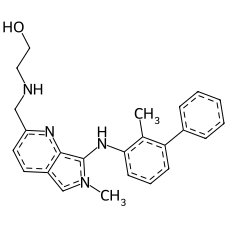 Cc1c(Nc2c3nc(CNCCO)ccc3cn2C)cccc1-c1ccccc1